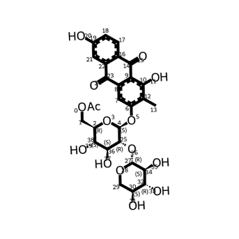 CC(=O)OC[C@H]1O[C@@H](Oc2cc3c(c(O)c2C)C(=O)c2ccc(O)cc2C3=O)[C@H](O[C@H]2OC[C@H](O)[C@@H](O)[C@@H]2O)[C@@H](O)[C@@H]1O